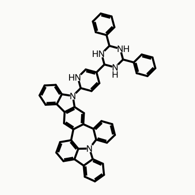 C1=CC(n2c3ccccc3c3cc4c(cc32)-c2ccccc2-n2c3ccccc3c3cccc-4c32)NC=C1C1NC(c2ccccc2)NC(c2ccccc2)N1